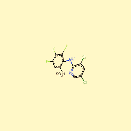 O=C(O)c1cc(F)c(F)c(F)c1Nc1ncc(Cl)cc1Cl